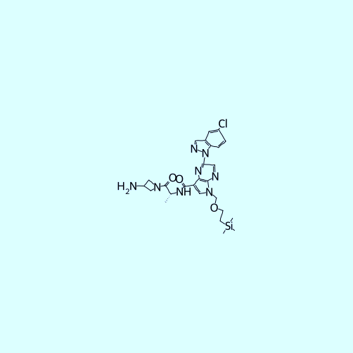 C[C@@H](NC(=O)c1cn(COCC[Si](C)(C)C)c2ncc(-n3ncc4cc(Cl)ccc43)nc12)C(=O)N1CC(N)C1